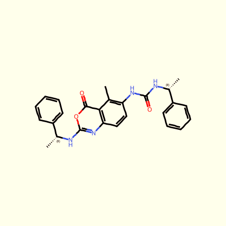 Cc1c(NC(=O)N[C@H](C)c2ccccc2)ccc2nc(N[C@H](C)c3ccccc3)oc(=O)c12